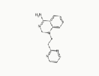 NC1=NCN(CCc2ncccn2)c2ccccc21